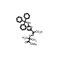 COC(=O)C(C)(C)O/N=C(/C(=O)O)c1csc(NC(c2ccccc2)(c2ccccc2)c2ccccc2)n1